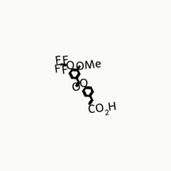 COc1cc(C(=O)Oc2ccc(C=CC(=O)O)cc2)ccc1OC(F)(F)C(F)F